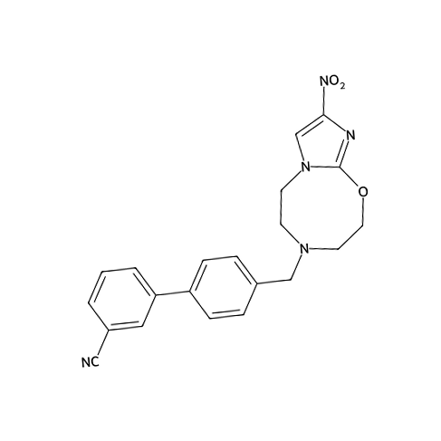 N#Cc1cccc(-c2ccc(CN3CCOc4nc([N+](=O)[O-])cn4CC3)cc2)c1